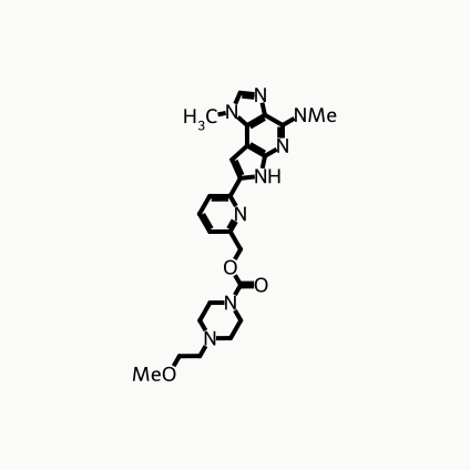 CNc1nc2[nH]c(-c3cccc(COC(=O)N4CCN(CCOC)CC4)n3)cc2c2c1ncn2C